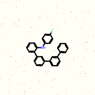 Fc1ccc(Nc2ccccc2-c2cccc(-c3cccc(-c4ccccc4)c3)c2)cc1